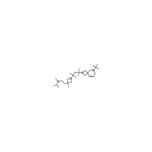 CC(C)N(C)CCC1(C)CN(C(C)(C)CC(C)(C)N2CC3(C=CCN(C(C)(C)C)C3)C2)C1